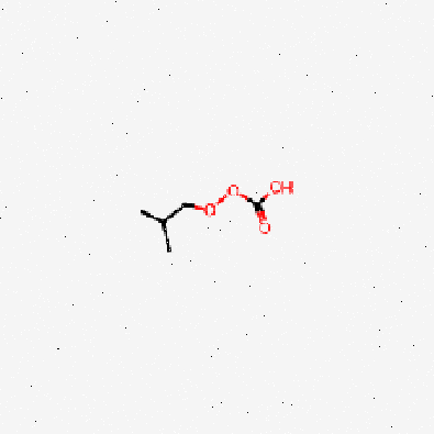 CC(C)COOC(=O)O